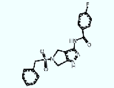 O=C(Nc1n[nH]c2c1CN(S(=O)(=O)Cc1ccccc1)C2)c1ccc(F)cc1